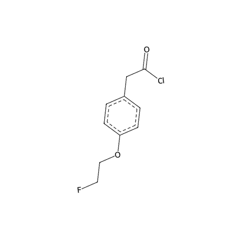 O=C(Cl)Cc1ccc(OCCF)cc1